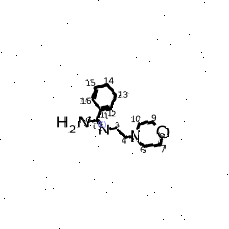 N/C(=N/CCN1CCOCC1)C1=CCCC=C1